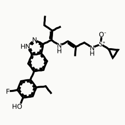 CC/C(C)=C(/N/C=C(\C)CN[S+]([O-])C1CC1)c1n[nH]c2cc(-c3cc(F)c(O)cc3CC)ccc12